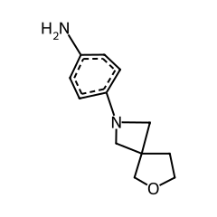 Nc1ccc(N2CC3(CCOC3)C2)cc1